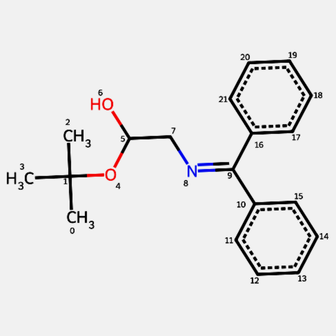 CC(C)(C)OC(O)CN=C(c1ccccc1)c1ccccc1